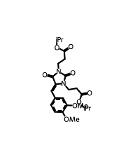 COc1ccc(C=C2C(=O)N(CCC(=O)OC(C)C)C(=O)N2CCC(=O)OC(C)C)cc1OC